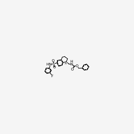 O=C(NC[C@@H]1CCCc2cc(S(=O)(=O)Nc3cccc(F)c3)ccc21)OCc1ccccc1